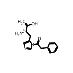 C=C(O)[C@@H](N)Cc1cncn1C(=O)Cc1ccccc1